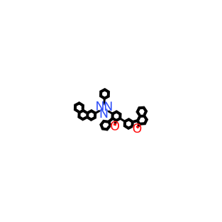 c1ccc(-c2nc(-c3ccc4ccc5ccccc5c4c3)nc(-c3ccc(-c4ccc5oc6ccc7ccccc7c6c5c4)c4oc5ccccc5c34)n2)cc1